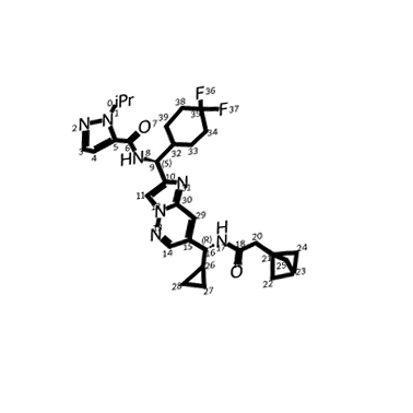 CC(C)n1nccc1C(=O)N[C@H](c1cn2ncc([C@H](NC(=O)CC34CC(C3)C4)C3CC3)cc2n1)C1CCC(F)(F)CC1